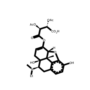 CCN(C)[C@@H]1Cc2ccc(O)c3c2[C@@]2(C)[C@@H](O3)C(OC(=O)[C@@H](OC(C)=O)[C@H](OC(C)=O)C(=O)O)=CC[C@@]12O